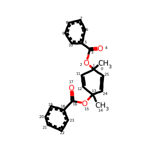 CC1(OC(=O)c2ccccc2)C=CC(C)(OC(=O)c2ccccc2)C=C1